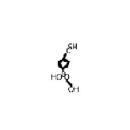 OCCOB(O)c1ccc(CCS)cc1